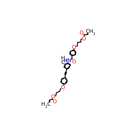 C=CC(=O)OCCCCOc1ccc(C#Cc2ccc(NC(=O)c3ccc(OCCCCOC(=O)C=C)cc3)c(C)c2)cc1